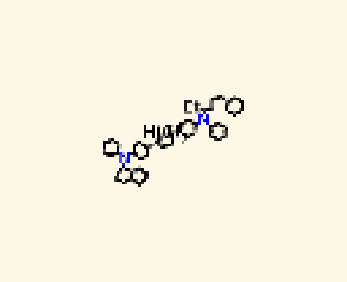 C=C(/C=C\C(=C/C)c1ccc(N(c2ccccc2)c2cccc3ccccc23)cc1)c1ccc(N(/C(=C/C=C\c2ccccc2)CC)c2ccccc2)cc1